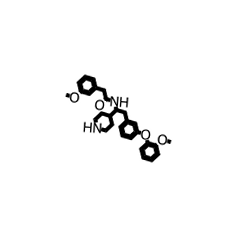 COc1cccc(CC(=O)NC(Cc2cccc(Oc3ccccc3OC)c2)C2CCNCC2)c1